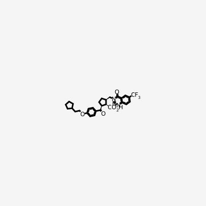 O=C(O)[C@H]1[C@H](Cn2nnc3ccc(C(F)(F)F)cc3c2=O)CC[C@@H]1C(=O)c1ccc(OCCC2CCCC2)cc1